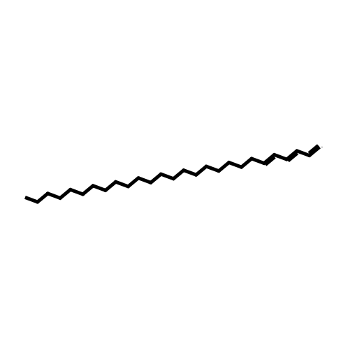 [CH]=CC=CC=CCCCCCCCCCCCCCCCCCCCCC